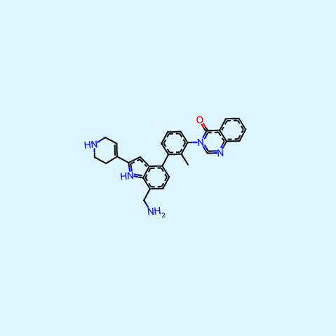 Cc1c(-c2ccc(CN)c3[nH]c(C4=CCNCC4)cc23)cccc1-n1cnc2ccccc2c1=O